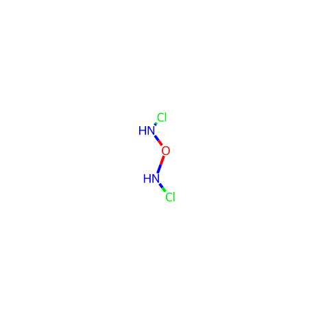 ClNONCl